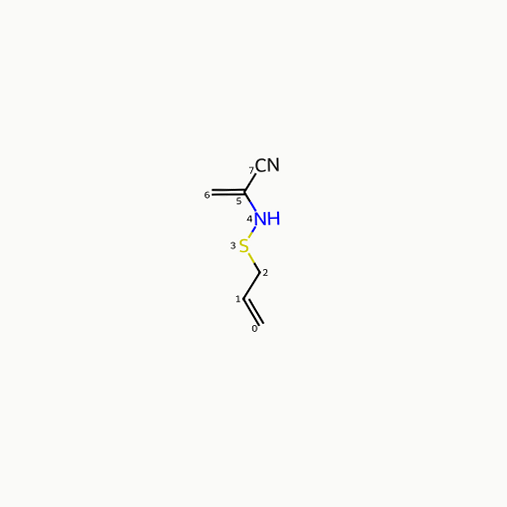 C=CCSNC(=C)C#N